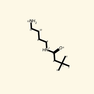 CC(C)(C)CC(=O)NCCCCN